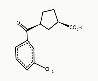 Cc1cccc(C(=O)[C@H]2CC[C@@H](C(=O)O)C2)c1